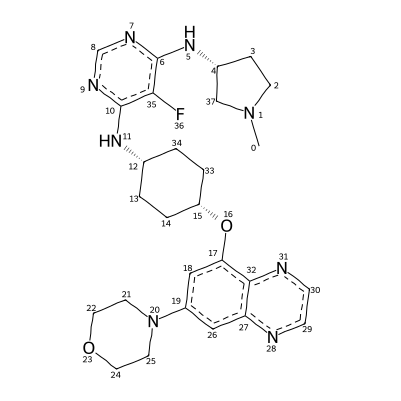 CN1CC[C@@H](Nc2ncnc(N[C@H]3CC[C@@H](Oc4cc(N5CCOCC5)cc5nccnc45)CC3)c2F)C1